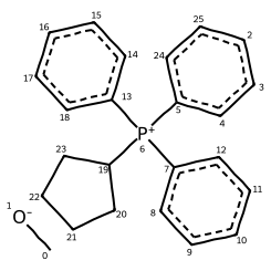 C[O-].c1ccc([P+](c2ccccc2)(c2ccccc2)C2CCCC2)cc1